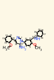 COc1ccc(N2C=NC(c3ccccc3OC)=CC2N)cc1CNc1ccccc1